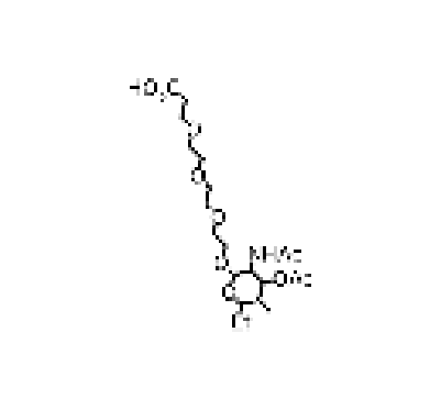 CCC1OC(OCCOCCOCCOCCC(=O)O)C(NC(C)=O)C(OC(C)=O)C1C